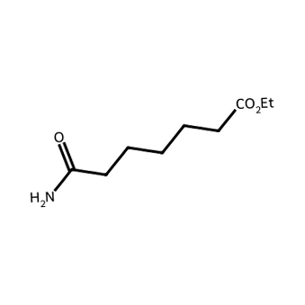 CCOC(=O)CCCCCC(N)=O